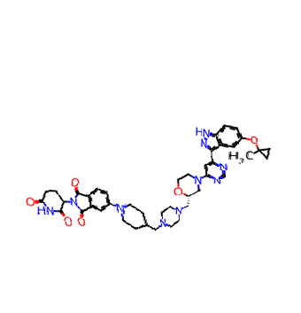 CC1(Oc2ccc3[nH]nc(-c4cc(N5CCO[C@@H](CN6CCN(CC7CCN(c8ccc9c(c8)C(=O)N(C8CCC(=O)NC8=O)C9=O)CC7)CC6)C5)ncn4)c3c2)CC1